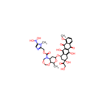 COc1cccc2c1C(=O)c1c(O)c3c(c(O)c1C2=O)CC(O)(C(=O)CO)CC3OC1CC2C(OCOCN2C(=O)OCc2ncc(N(O)O)n2C)C(C)O1